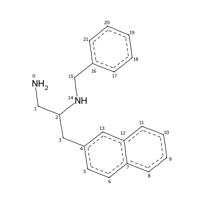 NCC(Cc1ccc2ccccc2c1)NCc1ccccc1